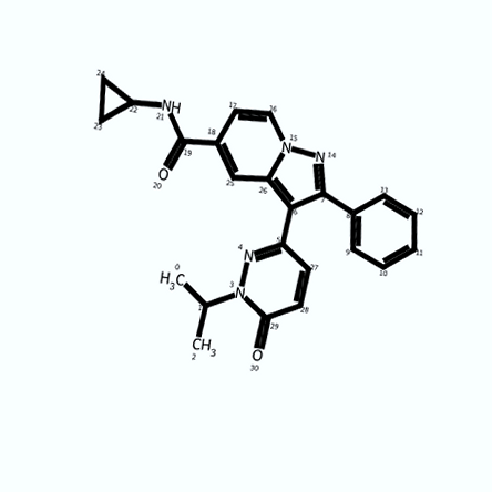 CC(C)n1nc(-c2c(-c3ccccc3)nn3ccc(C(=O)NC4CC4)cc23)ccc1=O